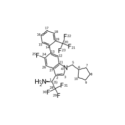 N[C@@H](c1cn(CC2CCCC2)c2cc(-c3ccccc3C(F)(F)F)c(F)cc12)C(F)(F)F